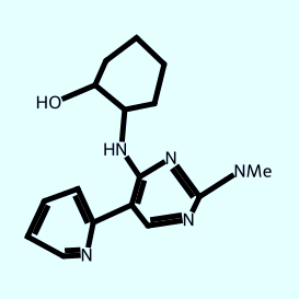 CNc1ncc(-c2ccccn2)c(NC2CCCCC2O)n1